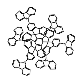 c1ccc2c(c1)-c1c(c3c(c4c1C1(c5ccc(-n6c7ccccc7c7ccccc76)cc5-c5cc(-n6c7ccccc7c7ccccc76)ccc51)c1ccccc1-4)C1(c4ccc(-n5c6ccccc6c6ccccc65)cc4-c4cc(-n5c6ccccc6c6ccccc65)ccc41)c1ccccc1-3)C21c2ccc(-n3c4ccccc4c4ccccc43)cc2-c2cc(-n3c4ccccc4c4ccccc43)ccc21